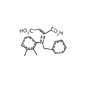 Cc1cccc(NCc2ccccc2)c1C.O=C(O)/C=C/C(=O)O